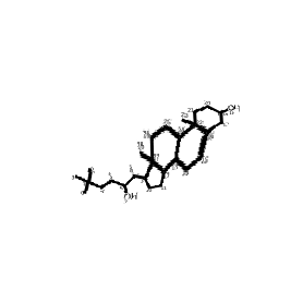 CC(C)(C)CCC(O)CC1CCC2C3CC=C4CC(O)CCC4(C)C3CCC12C